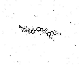 CCN1CCN(Cc2cc(NC(=O)N3Cc4ccc(-c5ccc6nc(NC(=O)C7CC7)sc6n5)cc4C3)cc(C(F)(F)F)c2)CC1